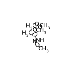 COC(=O)C(C)(C)Oc1ccc(-c2nc3ccc(C)cc3[nH]2)cc1C